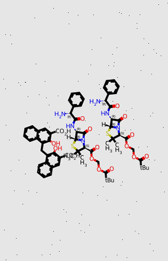 CC(C)(C)C(=O)OCOC(=O)[C@@H]1N2C(=O)[C@@H](NC(=O)[C@H](N)c3ccccc3)[C@H]2SC1(C)C.CC(C)(C)C(=O)OCOC(=O)[C@@H]1N2C(=O)[C@@H](NC(=O)[C@H](N)c3ccccc3)[C@H]2SC1(C)C.O=C(O)c1cc2ccccc2c(Cc2c(O)c(C(=O)O)cc3ccccc23)c1O